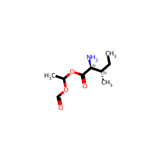 CC[C@H](C)[C@H](N)C(=O)OC(C)OC=O